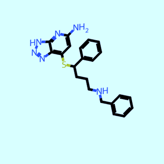 Nc1cc(SC(CCCNCc2ccccc2)c2ccccc2)c2nn[nH]c2n1